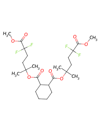 COC(=O)C(F)(F)CCC(C)(C)OC(=O)C1CCCCC1C(=O)OC(C)(C)CCC(F)(F)C(=O)OC